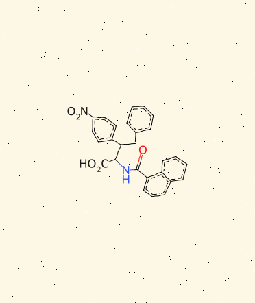 O=C(NC(C(=O)O)C(Cc1ccccc1)c1ccc([N+](=O)[O-])cc1)c1cccc2ccccc12